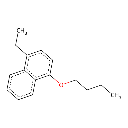 CCCCOc1ccc(CC)c2ccccc12